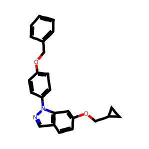 c1ccc(COc2ccc(-n3ncc4ccc(OCC5CC5)cc43)cc2)cc1